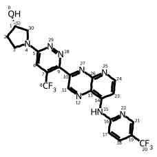 O[C@H]1CCN(c2cc(C(F)(F)F)c(-c3cnc4c(Nc5ccc(C(F)(F)F)cn5)ccnc4n3)nn2)C1